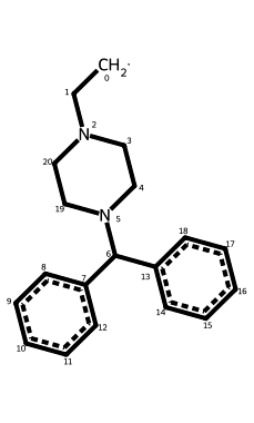 [CH2]CN1CCN(C(c2ccccc2)c2ccccc2)CC1